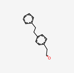 O=CCc1ccc(CCc2ccccc2)cc1